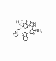 Cc1c(OCCN2CCCC2)ccc(-n2nnnc2-c2cc(-c3csc4ccccc34)cnc2N)c1F